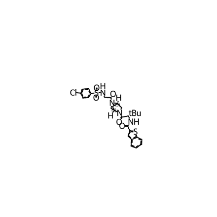 CC(C)(C)C(NC(=O)c1cc2ccccc2s1)C(=O)N1C[C@@H]2C[C@H]1CN2C(=O)CNS(=O)(=O)c1ccc(Cl)cc1